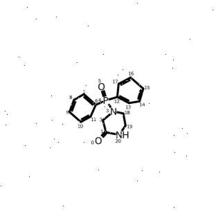 O=C1CN(P(=O)(c2ccccc2)c2ccccc2)CCN1